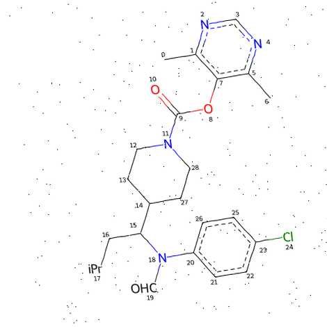 Cc1ncnc(C)c1OC(=O)N1CCC(C(CC(C)C)N(C=O)c2ccc(Cl)cc2)CC1